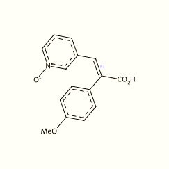 COc1ccc(/C(=C\c2ccc[n+]([O-])c2)C(=O)O)cc1